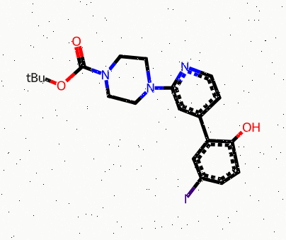 CC(C)(C)OC(=O)N1CCN(c2cc(-c3cc(I)ccc3O)ccn2)CC1